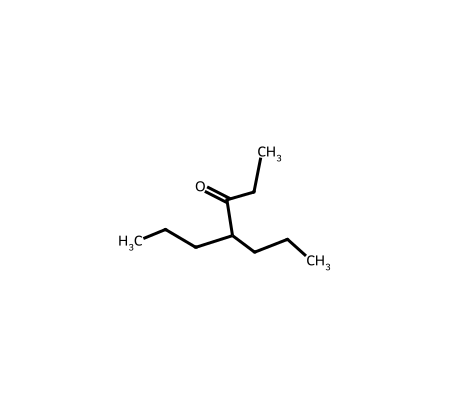 CCCC(CCC)C(=O)CC